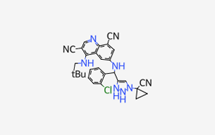 CC(C)(C)CNc1c(C#N)cnc2c(C#N)cc(NC(C3=CN(C4(C#N)CC4)NN3)c3ccccc3Cl)cc12